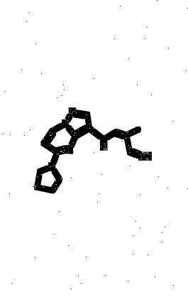 C/C(C=N)=C/Nc1cnn2ccc(N3CCCC3)nc12